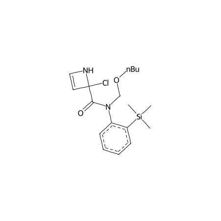 CCCCOCN(C(=O)C1(Cl)C=CN1)c1ccccc1[Si](C)(C)C